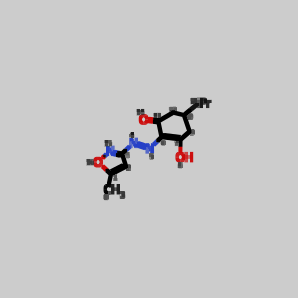 Cc1cc(N=NC2=C(O)CC(C(C)C)CC2=O)no1